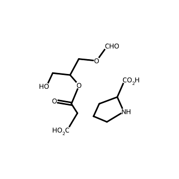 O=C(O)C1CCCN1.O=COCC(CO)OC(=O)CC(=O)O